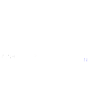 CC(=O)Nc1ccccc1Sc1ccc(C2CCCC3CCCN32)cc1